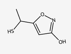 CC(S)c1cc(O)no1